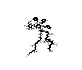 CC(C)CCC[C@@H](C)CCC[C@@H](C)CCC[C@@H](C)CCOC[C@H](CO[C@H]1O[C@H](CO[C@@H]2O[C@H](CO)[C@@H](O)[C@H](O)[C@H]2O)[C@@H](OCc2ccccc2)[C@H](OCc2ccccc2)[C@H]1OCc1ccccc1)OCC[C@H](C)CCC[C@H](C)CCC[C@H](C)CCCC(C)C